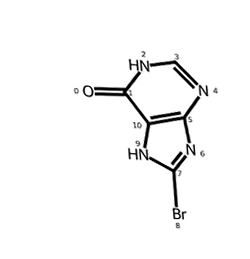 O=c1[nH]cnc2nc(Br)[nH]c12